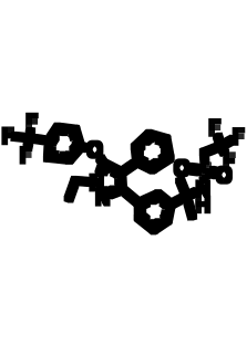 CCn1nc(-c2cccc(C(C)(C)NS(=O)(=O)CC(F)(F)F)c2)c(-c2ccccc2)c1Oc1ccc(C(F)(F)F)cc1